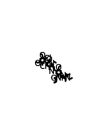 C=CC(=O)Nc1cc(-c2cc3c(cn2)cc(-c2c(Cl)c(OC)cc(OC)c2Cl)c(=O)n3CC)c(OC)cc1N1CC(C)N(CC)C(C)C1